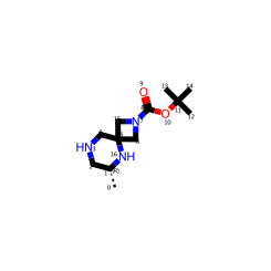 C[C@@H]1CNCC2(CN(C(=O)OC(C)(C)C)C2)N1